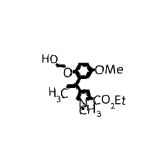 C/C=C(\c1cc(C(=O)OCC)n(C)c1)c1cc(OC)ccc1OCCO